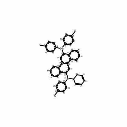 Cc1ccc(N(c2ccc(C)cc2)c2cc3c4ccccc4c(N(c4ccc(C)cc4)C4C=CC=CC4)cc3c3ccccc23)cc1